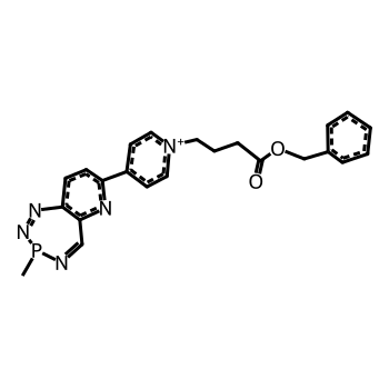 CP1N=Cc2nc(-c3cc[n+](CCCC(=O)OCc4ccccc4)cc3)ccc2N=N1